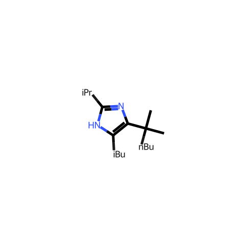 CCCCC(C)(C)c1nc(C(C)C)[nH]c1C(C)CC